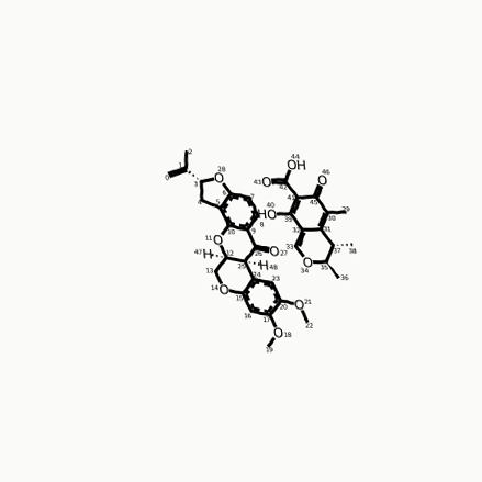 C=C(C)[C@H]1Cc2c(ccc3c2O[C@@H]2COc4cc(OC)c(OC)cc4[C@@H]2C3=O)O1.CC1=C2C(=CO[C@H](C)[C@H]2C)C(O)=C(C(=O)O)C1=O